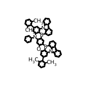 Cc1cccc(C)c1-c1cc2c3c(c1)-n1c4ccccc4c4cccc(c41)B3c1cc3c(cc1O2)N(c1ccccc1)c1cc(-c2c(C)cccc2C)cc2c1B3c1cccc3c4ccccc4n-2c13